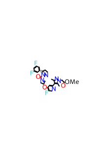 COC(=O)Cn1nc(C)c(-c2cc(OC3CN(C(=O)N4N=CC[C@H]4c4cc(F)cc(F)c4)C3)c(F)cn2)c1C